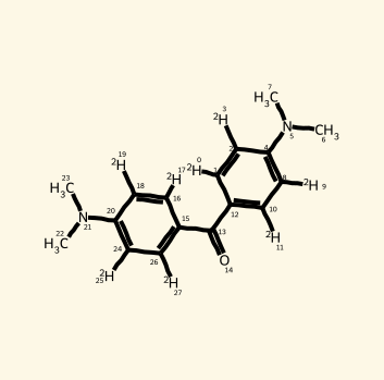 [2H]c1c([2H])c(N(C)C)c([2H])c([2H])c1C(=O)c1c([2H])c([2H])c(N(C)C)c([2H])c1[2H]